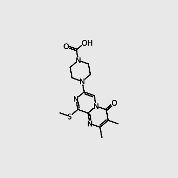 CSc1nc(N2CCN(C(=O)O)CC2)cn2c(=O)c(C)c(C)nc12